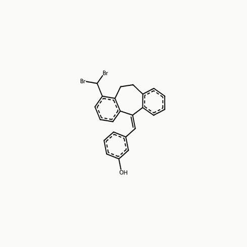 Oc1cccc(C=C2c3ccccc3CCc3c2cccc3C(Br)Br)c1